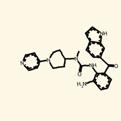 CN(C(=O)Nc1c(N)cccc1C(=O)c1ccc2cc[nH]c2c1)C1CCN(c2ccncc2)CC1